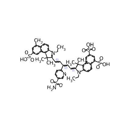 CCN1/C(=C/C=C(/C=C/C2=[N+](CC)c3ccc4c(C)cc(S(=O)(=O)O)cc4c3C2(C)C)c2ccc(S(N)(=O)=O)cn2)C(C)(C)c2c1ccc1c(S(=O)(=O)O)cc(S(=O)(=O)O)cc21